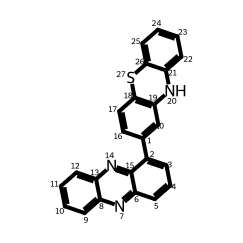 [c]1c(-c2cccc3nc4ccccc4nc23)ccc2c1Nc1ccccc1S2